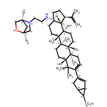 C=C(C)[C@@H]1CC[C@]2(NCCN3C[C@@H]4C[C@H]3CO4)CC[C@]3(C)[C@H](CC[C@@H]4[C@@]5(C)CC=C(C6=CC7C(C6)C7C(=O)O)C(C)(C)[C@@H]5CC[C@]43C)[C@@H]12